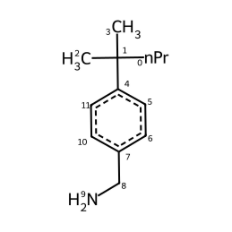 CCCC(C)(C)c1ccc(CN)cc1